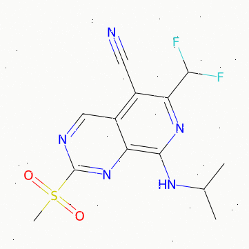 CC(C)Nc1nc(C(F)F)c(C#N)c2cnc(S(C)(=O)=O)nc12